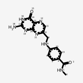 CNC(=O)c1ccc(NCc2cnc3c(=O)[nH]c(N)nc3n2)cc1